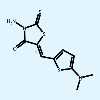 CN(C)c1ccc(/C=C2\SC(=S)N(N)C2=O)s1